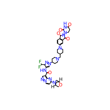 O=C1CCN(N2C(=O)c3ccc(N4CCC(CN5CCC(n6cc(NC(=O)c7cnn8ccc(N9C[C@H]%10C[C@@H]9CO%10)nc78)c(C(F)F)n6)CC5)CC4)cc3C2=O)C(=O)N1